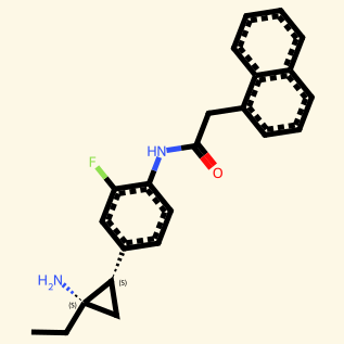 CC[C@]1(N)C[C@H]1c1ccc(NC(=O)Cc2cccc3ccccc23)c(F)c1